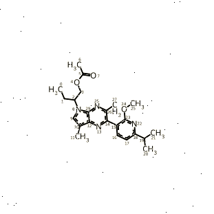 CCC(COC(C)=O)n1cc(C)c2nc(-c3ccc(C(C)C)nc3OC)c(C)nc21